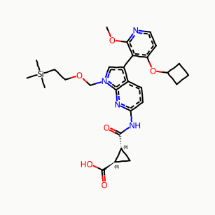 COc1nccc(OC2CCC2)c1-c1cn(COCC[Si](C)(C)C)c2nc(NC(=O)[C@@H]3C[C@H]3C(=O)O)ccc12